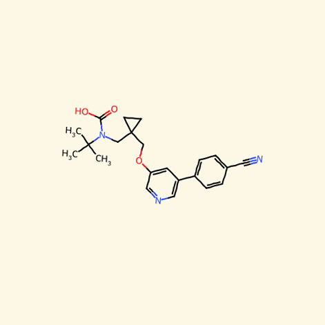 CC(C)(C)N(CC1(COc2cncc(-c3ccc(C#N)cc3)c2)CC1)C(=O)O